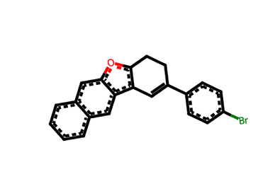 Brc1ccc(C2=Cc3c(oc4cc5ccccc5cc34)CC2)cc1